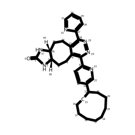 O=C1N[C@H]2CCc3c(-c4ccc(C5CCCCCCCCC5)cn4)nnc(-c4ccccn4)c3CC[C@H]2N1